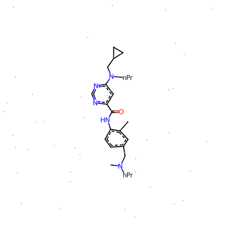 CCCN(C)Cc1ccc(NC(=O)c2cc(N(CCC)CC3CC3)ncn2)c(C)c1